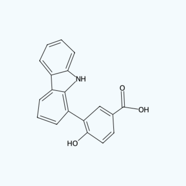 O=C(O)c1ccc(O)c(-c2cccc3c2[nH]c2ccccc23)c1